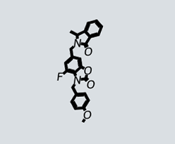 COc1ccc(Cn2c(=O)oc3cc(CN4C(=O)c5ccccc5C4C)cc(F)c32)cc1